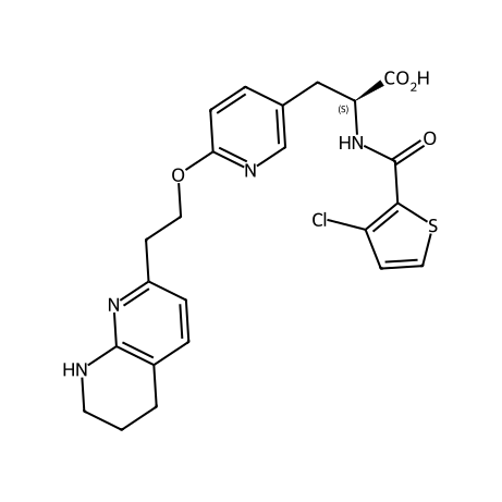 O=C(N[C@@H](Cc1ccc(OCCc2ccc3c(n2)NCCC3)nc1)C(=O)O)c1sccc1Cl